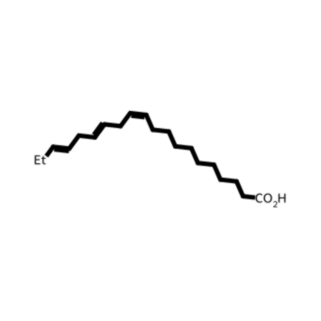 CCC=CCC=CC/C=C\CCCCCCCCCC(=O)O